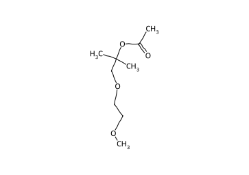 COCCOCC(C)(C)OC(C)=O